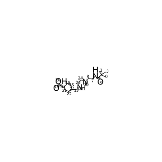 CC(C)(C)C(=O)NCCN1CCN(Cc2ccc(C(=O)O)cc2)CC1